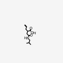 C=CCC(CC(=O)NCC(C)C)C(=O)O